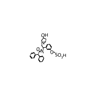 CN(C(=O)C(c1ccccc1)c1ccccc1)C(CN1CCC(O)C1)c1cccc(OCS(=O)(=O)O)c1